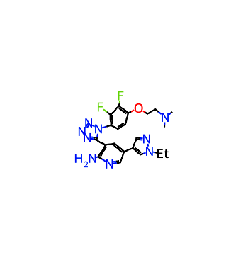 CCn1cc(-c2cnc(N)c(-c3nnnn3-c3ccc(OCCN(C)C)c(F)c3F)c2)cn1